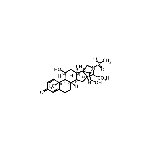 C[C@]12C=CC(=O)C=C1CC[C@@H]1[C@@H]2[C@@H](O)C[C@@]2(C)[C@H]1C[C@H]1C(C(=O)O)N(S(C)(=O)=O)C[C@]12C(=O)CO